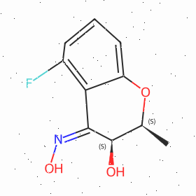 C[C@@H]1Oc2cccc(F)c2C(=NO)[C@@H]1O